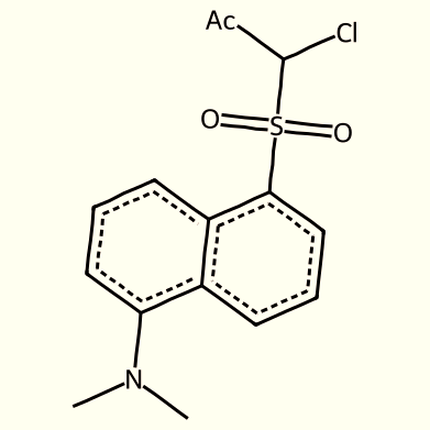 CC(=O)C(Cl)S(=O)(=O)c1cccc2c(N(C)C)cccc12